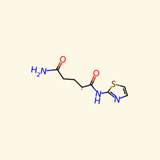 NC(=O)CC[CH]C(=O)Nc1nccs1